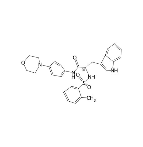 Cc1ccccc1S(=O)(=O)N[C@@H](Cc1c[nH]c2ccccc12)C(=O)Nc1ccc(N2CCOCC2)cc1